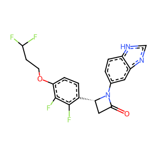 O=C1C[C@H](c2ccc(OCCC(F)F)c(F)c2F)N1c1ccc2[nH]cnc2c1